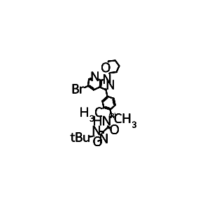 Cc1cc(-c2nn(C3CCCCO3)c3ncc(Br)cc23)ccc1[C@@H](C)NC(=O)c1noc(C(C)(C)C)n1